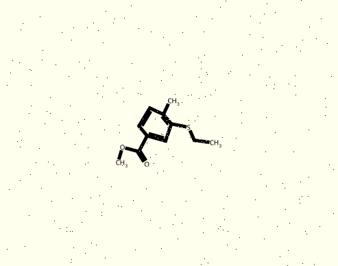 CCSc1cc(C(=O)OC)ccc1C